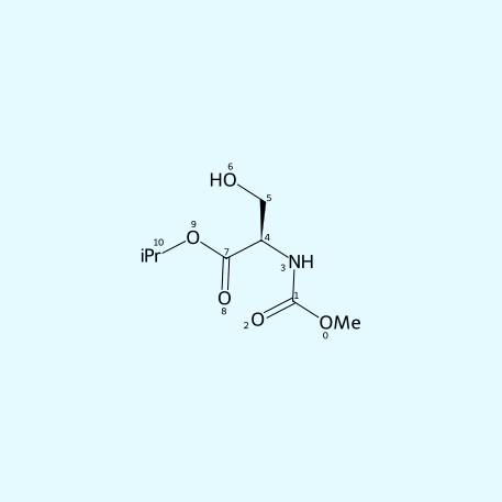 COC(=O)N[C@H](CO)C(=O)OC(C)C